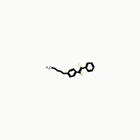 CCCCCc1ccc(/C(F)=C(\F)c2[c]cccc2)cc1